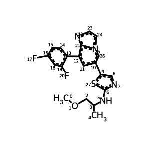 COCC(C)Nc1ncc(-c2cc(-c3ccc(F)cc3F)c3nccn3c2)s1